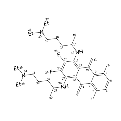 C=c1c2c(C)ccc(C)c2c(=C)c2c(NC(C)CCCN(CC)CC)c(F)c(F)c(NC(C)CCCN(CC)CC)c12